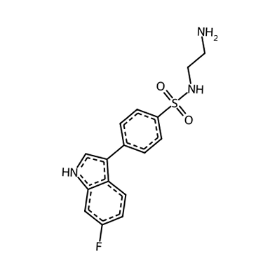 NCCNS(=O)(=O)c1ccc(-c2c[nH]c3cc(F)ccc23)cc1